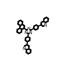 c1ccc2ncc(-c3ccc(-c4nc(-c5ccc(-c6cnc7ccccc7c6)cc5)nc(-c5cc6ccccc6c6ccccc56)n4)cc3)cc2c1